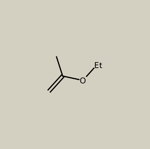 [CH2]COC(=C)C